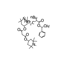 CCCCC(C(=O)O)C(=O)OC(O)c1ccccc1.CN1C(C)(C)CC(OC(=O)CC(=O)OC2CC(C)(C)N(C)C(C)(C)C2)CC1(C)C